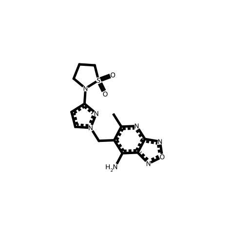 Cc1nc2nonc2c(N)c1Cn1ccc(N2CCCS2(=O)=O)n1